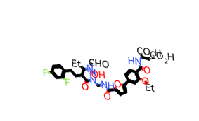 CCOc1cc(-c2ccc(C(=O)NCNC(=O)C(CCc3ccc(F)cc3F)C(CC)N(O)C=O)o2)ccc1C(=O)NC(CC(=O)O)C(=O)O